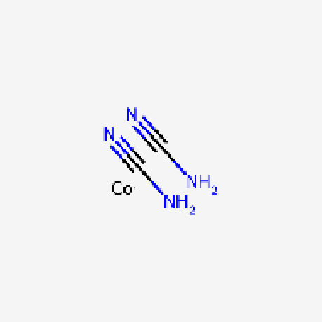 N#CN.N#CN.[Co]